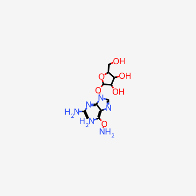 C=C(N)/N=C1\C(=C(/N)ON)N=CN1OC1OC(CO)C(O)C1O